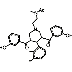 CC(=O)N(C)CCN1CC(C(=O)c2cccc(O)c2)C(c2cccc(F)c2C)C(C(=O)c2cccc(O)c2)C1